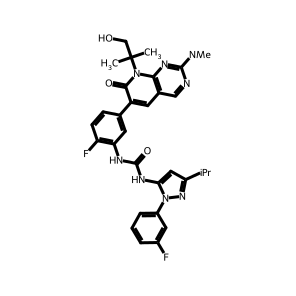 CNc1ncc2cc(-c3ccc(F)c(NC(=O)Nc4cc(C(C)C)nn4-c4cccc(F)c4)c3)c(=O)n(C(C)(C)CO)c2n1